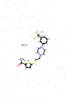 CC(=O)c1ccc(SCCN2CCN(c3cccc(C(F)(F)F)c3)CC2)s1.Cl